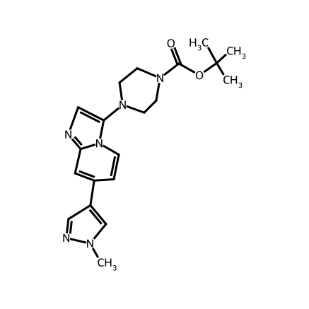 Cn1cc(-c2ccn3c(N4CCN(C(=O)OC(C)(C)C)CC4)cnc3c2)cn1